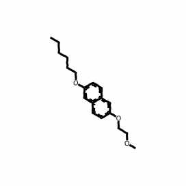 CCCCCCOc1ccc2cc(OCCOC)ccc2c1